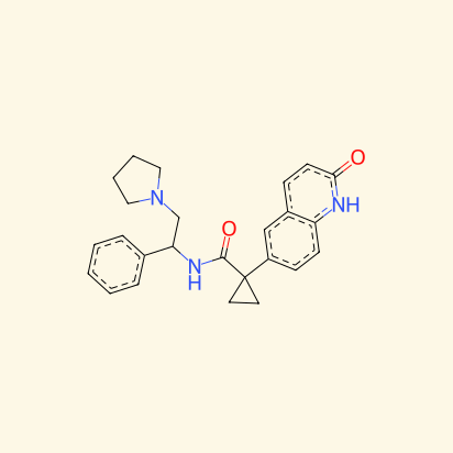 O=C(NC(CN1CCCC1)c1ccccc1)C1(c2ccc3[nH]c(=O)ccc3c2)CC1